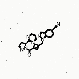 N#Cc1ccc2c(cnn2CC23CC(C(=O)N4N=CCC4c4ncccn4)(C2)C3)c1